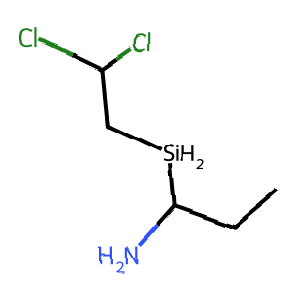 CCC(N)[SiH2]CC(Cl)Cl